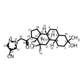 C[C@@]1(O)CC[C@H]2C(CC[C@@H]3[C@@H]2CC(F)(F)[C@]2(C)[C@@H](C(=O)Cn4cc(C#N)cn4)CC[C@@H]32)C1